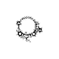 CC(C)C[C@H]1NC(=O)c2cccc(F)c2OCc2noc(n2)CCCCCCCCNC(=O)[C@H](Cc2cscn2)N(C)C(=O)[C@H]2CCCN2C1=O